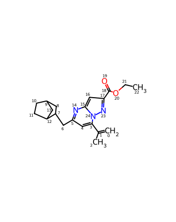 C=C(C)c1cc(CC2CC3CCC2C3)nc2cc(C(=O)OCC)nn12